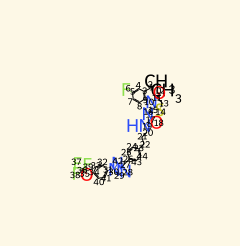 CC(C)c1cc(F)ccc1N1C(=O)CSC1=NC(=O)NCCCc1ccc(-c2ncn(-c3ccc(OC(F)(F)F)cc3)n2)cc1